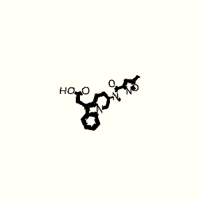 Cc1cc(C(=O)N(C)[C@@H]2CCc3c(CC(=O)O)c4ccccc4n3C2)no1